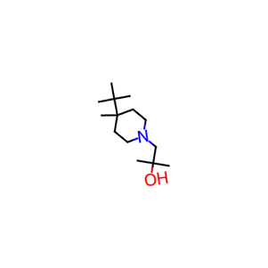 CC(C)(O)CN1CCC(C)(C(C)(C)C)CC1